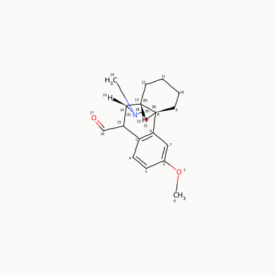 COc1ccc2c(c1)[C@@]13CCCC[C@H]1[C@@H](C2C=O)N(C)CC3